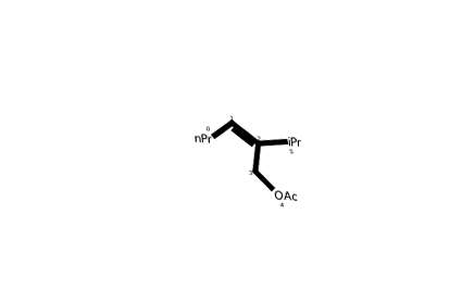 CCCC=C(COC(C)=O)C(C)C